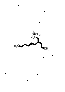 C=C.C=CCC(CC)CC=CCCC